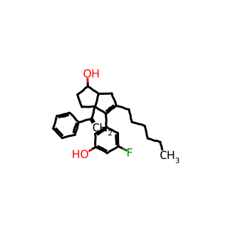 C=C(c1ccccc1)C12CCC(O)C1CC(CCCCCC)=C2c1cc(O)cc(F)c1